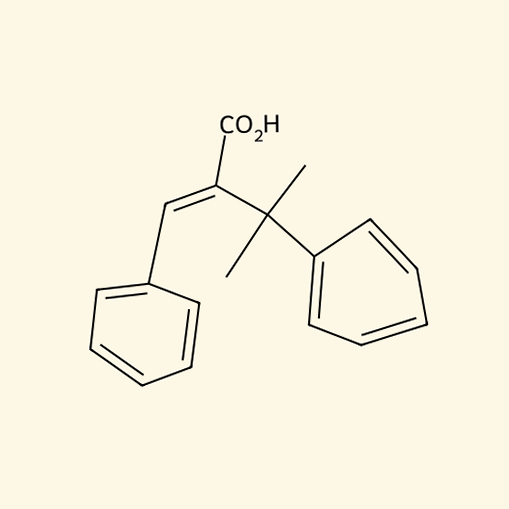 CC(C)(C(=Cc1ccccc1)C(=O)O)c1ccccc1